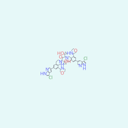 O=C(C(N1CCc2cc(-c3cnc4[nH]cc(Cl)c4c3)cc(C3COCCN3)c2C1)C1(O)CC1)C(N1CCc2cc(-c3cnc4[nH]cc(Cl)c4c3)cc(C3COCCN3)c2C1)C1(O)CC1